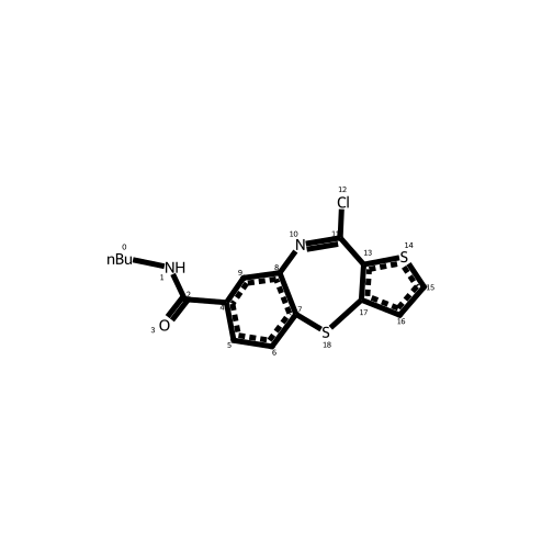 CCCCNC(=O)c1ccc2c(c1)N=C(Cl)c1sccc1S2